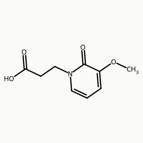 COc1cccn(CCC(=O)O)c1=O